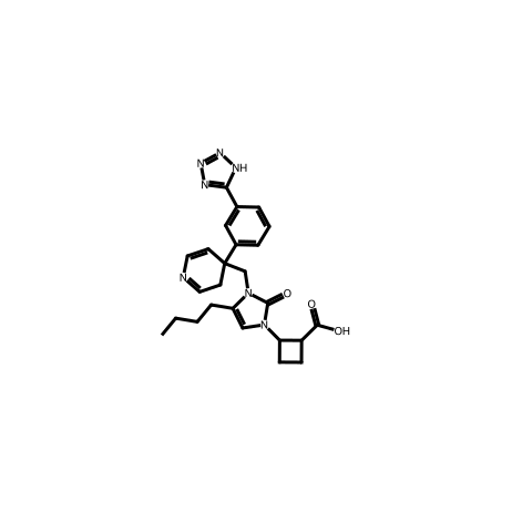 CCCCc1cn(C2CCC2C(=O)O)c(=O)n1CC1(c2cccc(-c3nnn[nH]3)c2)C=CN=CC1